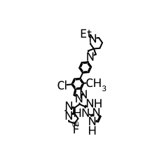 CCN1CCCC2(C1)CN(c1ccc(-c3cc(Cl)c4cn(C(C(=N)Nc5ncc[nH]5)c5ncn6c5C[C@@H](F)C6)nc4c3C)cc1)C2